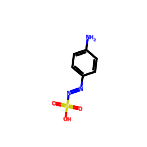 Nc1ccc(N=NS(=O)(=O)O)cc1